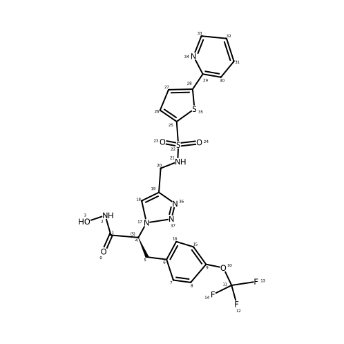 O=C(NO)[C@H](Cc1ccc(OC(F)(F)F)cc1)n1cc(CNS(=O)(=O)c2ccc(-c3ccccn3)s2)nn1